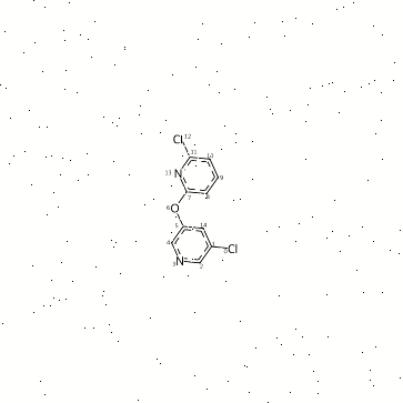 Clc1cncc(Oc2cccc(Cl)n2)c1